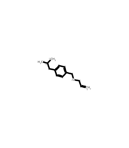 C=CCOCc1ccc(CC(C)C)cc1